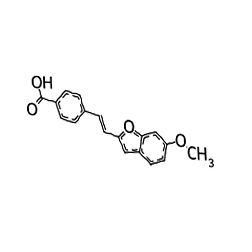 COc1ccc2cc(C=Cc3ccc(C(=O)O)cc3)oc2c1